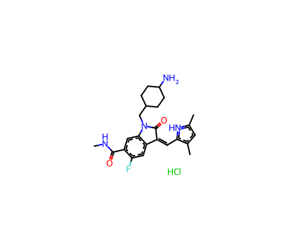 CNC(=O)c1cc2c(cc1F)/C(=C/c1[nH]c(C)cc1C)C(=O)N2CC1CCC(N)CC1.Cl